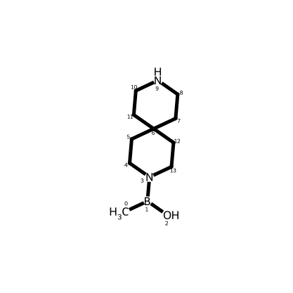 CB(O)N1CCC2(CCNCC2)CC1